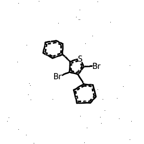 Brc1sc(-c2ccccc2)c(Br)c1-c1ccccc1